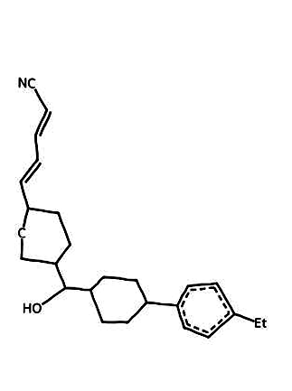 CCc1ccc(C2CCC(C(O)C3CCC(C=CC=CC#N)CC3)CC2)cc1